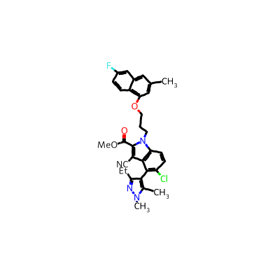 CCc1nn(C)c(C)c1-c1c(Cl)ccc2c1c(C#N)c(C(=O)OC)n2CCCOc1cc(C)cc2cc(F)ccc12